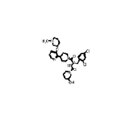 CN1CCC[C@H](Oc2cccnc2C2CCN(C(=O)[C@@H](Cc3ccc(Cl)cc3Cl)NC(=O)N3CCCC(O)C3)CC2)C1